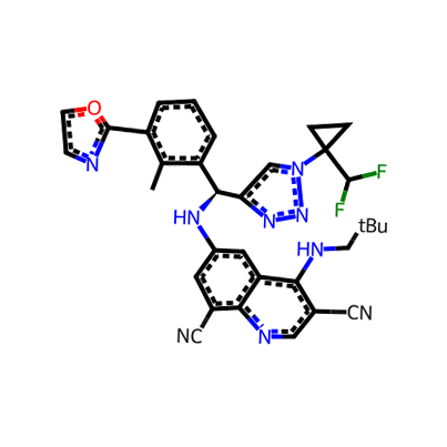 Cc1c(-c2ncco2)cccc1[C@H](Nc1cc(C#N)c2ncc(C#N)c(NCC(C)(C)C)c2c1)c1cn(C2(C(F)F)CC2)nn1